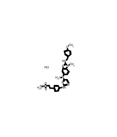 CNS(=O)(=O)CCc1ccc(Nc2nccc(N(C)c3ccc4c(c3)nc(NCc3ccc(OC)cc3)n4C)n2)cc1.Cl